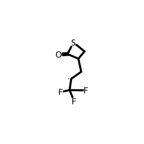 O=C1SCC1C[CH]C(F)(F)F